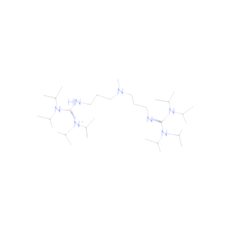 CC(C)N(C(=NCCCN(C)CCCNC(N(C(C)C)C(C)C)=[N+](C(C)C)C(C)C)N(C(C)C)C(C)C)C(C)C